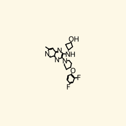 Cc1cc2nc(N[C@H]3C[C@@H](O)C3)c(N3CCC(Oc4ccc(F)cc4F)CC3)nc2cn1